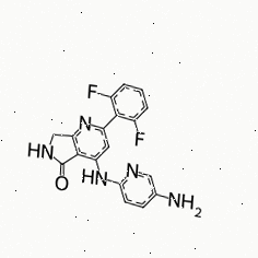 Nc1ccc(Nc2cc(-c3c(F)cccc3F)nc3c2C(=O)NC3)nc1